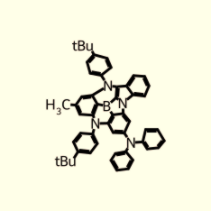 Cc1cc2c3c(c1)N(c1ccc(C(C)(C)C)cc1)c1c4n(c5ccccc15)-c1cc(N(c5ccccc5)c5ccccc5)cc(c1B34)N2c1ccc(C(C)(C)C)cc1